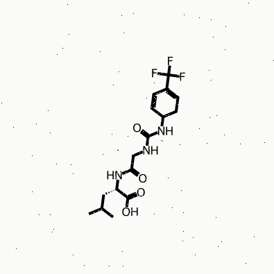 CC(C)C[C@H](NC(=O)CNC(=O)NC1C=CC(C(F)(F)F)=CC1)C(=O)O